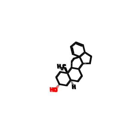 C[C@]12CC[C@@H](O)C[C@@H]1CCC1C3CCC4C=CC=CC43CCC12